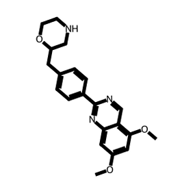 COc1cc(OC)c2cnc(-c3ccc(CC4CNCCO4)cc3)nc2c1